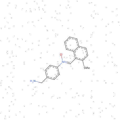 CSc1ccc2ccccc2c1C=[N+]([O-])c1ccc(CN)cc1